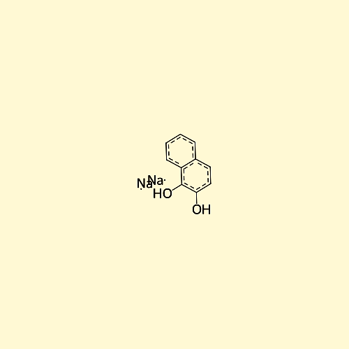 Oc1ccc2ccccc2c1O.[Na].[Na]